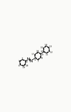 c1ccc(N=Nc2ccc(-c3ccccc3)cc2)cc1